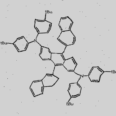 CC(C)(C)c1ccc(N(c2ccc(C(C)(C)C)cc2)c2ccc3c(-c4ccc5ccccc5c4)c4cc(N(c5ccc(C(C)(C)C)cc5)c5ccc(C(C)(C)C)cc5)ccc4c(C4=Cc5ccccc5CC4)c3c2)cc1